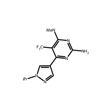 CNc1nc(N)nc(-c2cnn(C(C)C)c2)c1C(F)(F)F